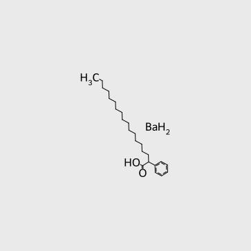 CCCCCCCCCCCCCCCCC(C(=O)O)c1ccccc1.[BaH2]